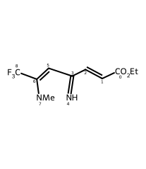 CCOC(=O)/C=C/C(=N)/C=C(\NC)C(F)(F)F